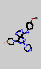 CCOc1ccc(Nc2ncnc3c(N4CC[S+]([O-])CC4)nc(N4CCNCC4)nc23)cc1